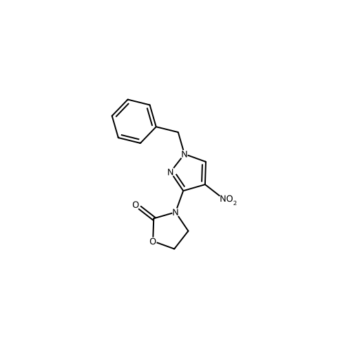 O=C1OCCN1c1nn(Cc2ccccc2)cc1[N+](=O)[O-]